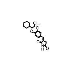 CCC(Oc1ccc(C=C2SC(=O)NC2=O)cc1Cl)C1CCCCC1